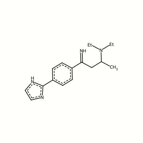 CCN(CC)C(C)CC(=N)c1ccc(-c2ncc[nH]2)cc1